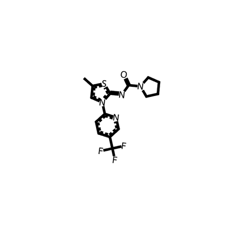 Cc1cn(-c2ccc(C(F)(F)F)cn2)c(=NC(=O)N2CCCC2)s1